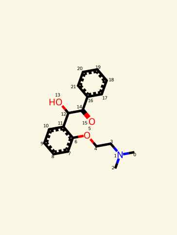 CN(C)CCOc1ccccc1C(O)C(=O)c1ccccc1